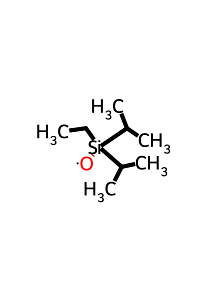 CC[Si]([O])(C(C)C)C(C)C